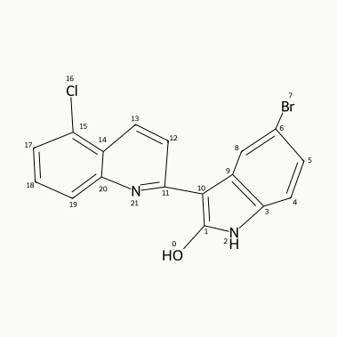 Oc1[nH]c2ccc(Br)cc2c1-c1ccc2c(Cl)cccc2n1